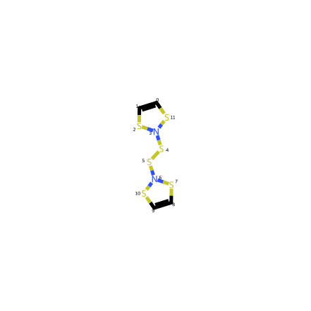 C1=CSN(SSN2SC=CS2)S1